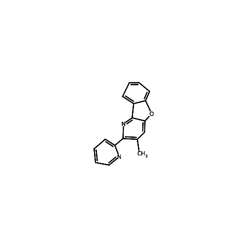 Cc1cc2oc3ccccc3c2nc1-c1ccccn1